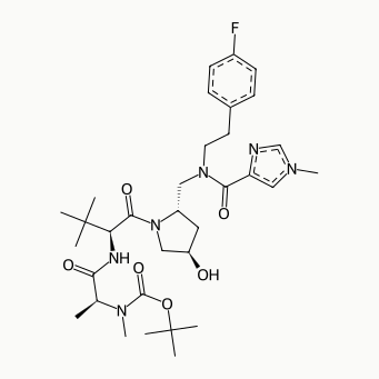 C[C@@H](C(=O)N[C@H](C(=O)N1C[C@H](O)C[C@H]1CN(CCc1ccc(F)cc1)C(=O)c1cn(C)cn1)C(C)(C)C)N(C)C(=O)OC(C)(C)C